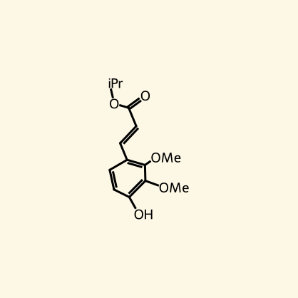 COc1c(O)ccc(C=CC(=O)OC(C)C)c1OC